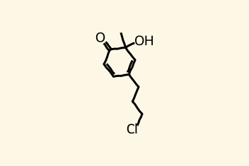 CC1(O)C=C(CCCCl)C=CC1=O